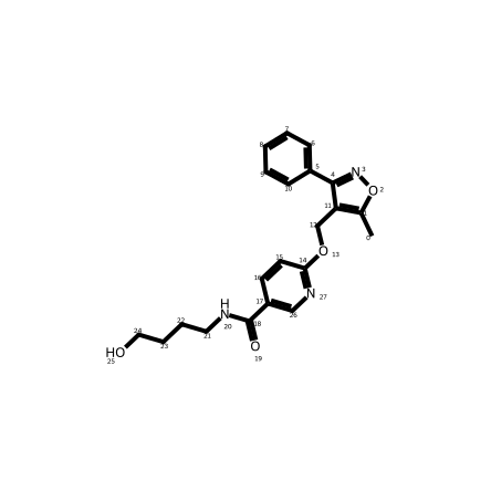 Cc1onc(-c2ccccc2)c1COc1ccc(C(=O)NCCCCO)cn1